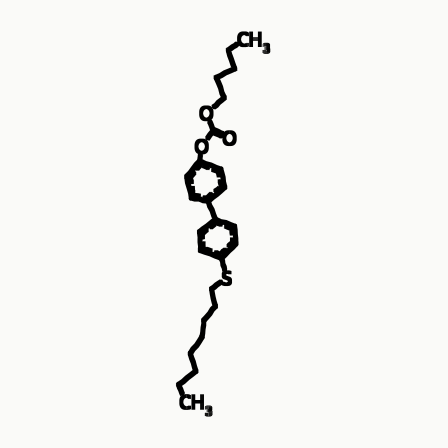 CCCCCCCCSc1ccc(-c2ccc(OC(=O)OCCCCC)cc2)cc1